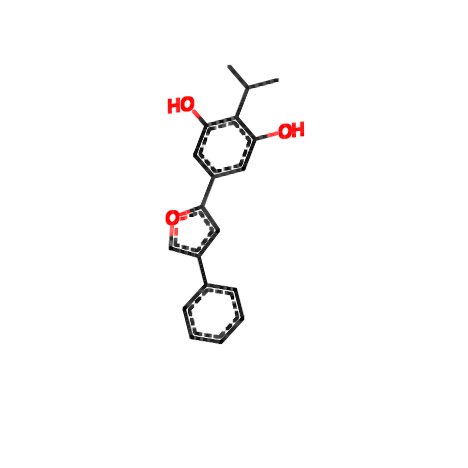 CC(C)c1c(O)cc(-c2cc(-c3ccccc3)co2)cc1O